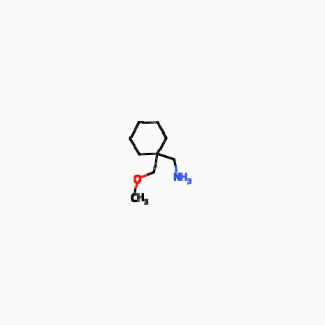 COCC1(CN)CCCCC1